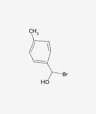 Cc1ccc(C(O)Br)cc1